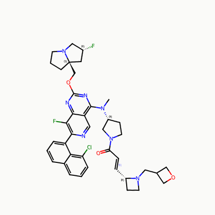 CN(c1nc(OC[C@@]23CCCN2C[C@H](F)C3)nc2c(F)c(-c3cccc4cccc(Cl)c34)ncc12)[C@@H]1CCN(C(=O)/C=C/[C@H]2CCN2CC2COC2)C1